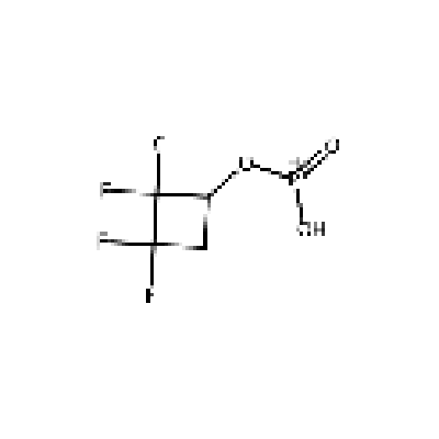 O=[PH](O)OC1CC(F)(F)C1(F)Cl